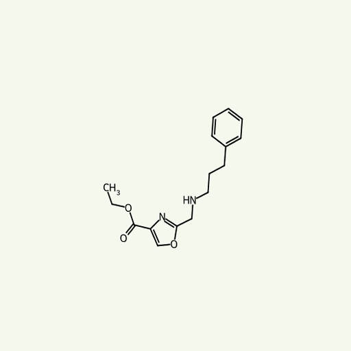 CCOC(=O)c1coc(CNCCCc2ccccc2)n1